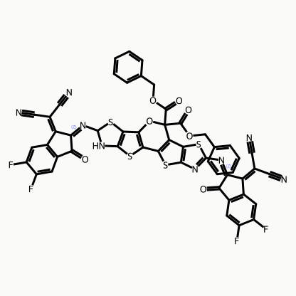 N#CC(C#N)=C1/C(=N/c2nc3sc4c(c3s2)C(C(=O)OCc2ccccc2)(C(=O)OCc2ccccc2)Oc2c-4sc3c2SC(/N=C2\C(=O)c4cc(F)c(F)cc4C2=C(C#N)C#N)N3)C(=O)c2cc(F)c(F)cc21